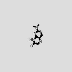 CN(C)c1ncc2ncc(=O)[nH]c2n1